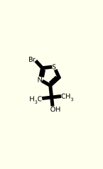 CC(C)(O)c1csc(Br)n1